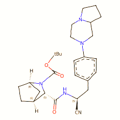 CC(C)(C)OC(=O)N1[C@@H]2CC[C@@H](C2)[C@H]1C(=O)N[C@H](C#N)Cc1ccc(N2CCN3CCCC3C2)cc1